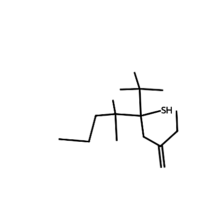 C=C(CC)CC(S)(C(C)(C)C)C(C)(C)CCC